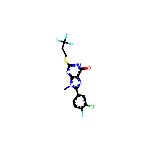 Cn1c(-c2ccc(F)c(Cl)c2)nc2c(=O)[nH]c(SCCC(F)(F)F)nc21